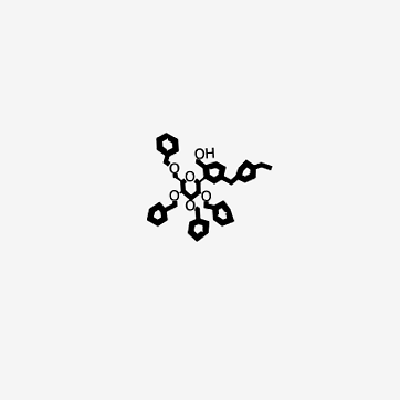 CCc1ccc(Cc2ccc(CO)c([C@@H]3O[C@H](COCc4ccccc4)[C@@H](OCc4ccccc4)[C@H](OCc4ccccc4)[C@H]3OCc3ccccc3)c2)cc1